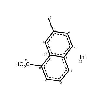 Cc1ccc2cccc(C(=O)O)c2c1.[In]